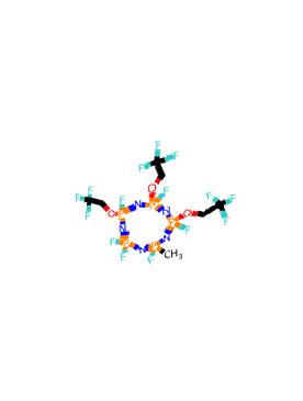 CP1(F)=NP(F)(F)=NP(F)(OCC(F)(F)F)=NP(F)(OCC(F)(F)F)=NP(F)(OCC(F)(F)F)=N1